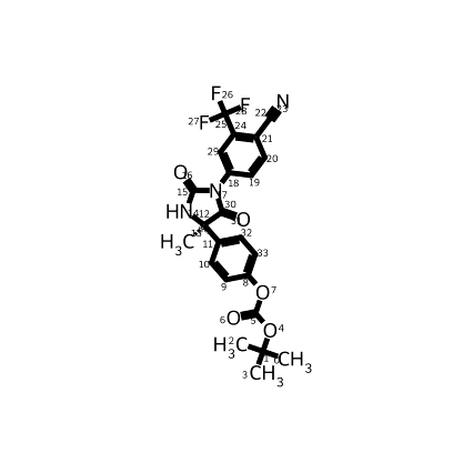 CC(C)(C)OC(=O)Oc1ccc([C@@]2(C)NC(=O)N(c3ccc(C#N)c(C(F)(F)F)c3)C2=O)cc1